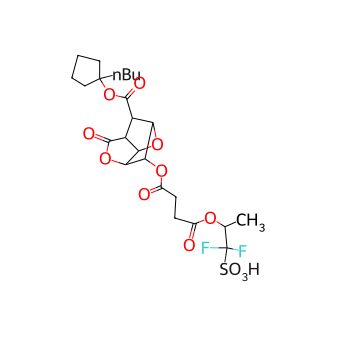 CCCCC1(OC(=O)C2C3OC4C(OC(=O)C42)C3OC(=O)CCC(=O)OC(C)C(F)(F)S(=O)(=O)O)CCCC1